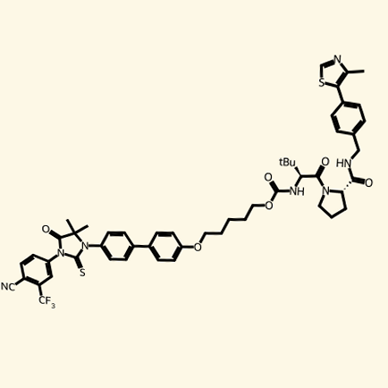 Cc1ncsc1-c1ccc(CNC(=O)[C@@H]2CCCN2C(=O)[C@@H](NC(=O)OCCCCCOc2ccc(-c3ccc(N4C(=S)N(c5ccc(C#N)c(C(F)(F)F)c5)C(=O)C4(C)C)cc3)cc2)C(C)(C)C)cc1